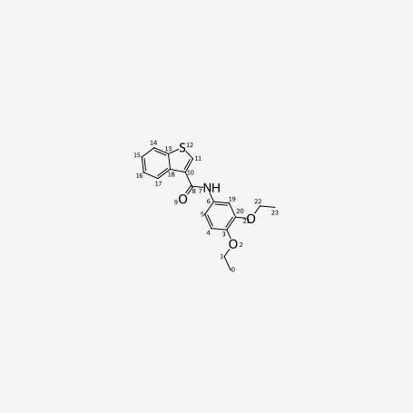 CCOc1ccc(NC(=O)c2csc3ccccc23)cc1OCC